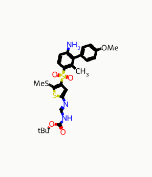 COc1ccc(-c2c(N)ccc(S(=O)(=O)c3cc(N=CNC(=O)OC(C)(C)C)sc3SC)c2C)cc1